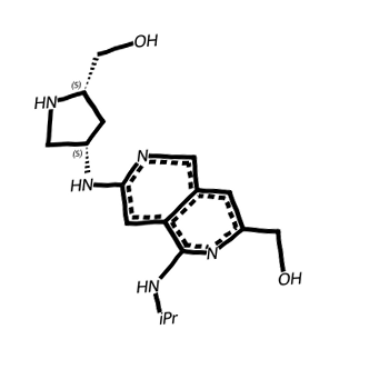 CC(C)Nc1nc(CO)cc2cnc(N[C@@H]3CN[C@H](CO)C3)cc12